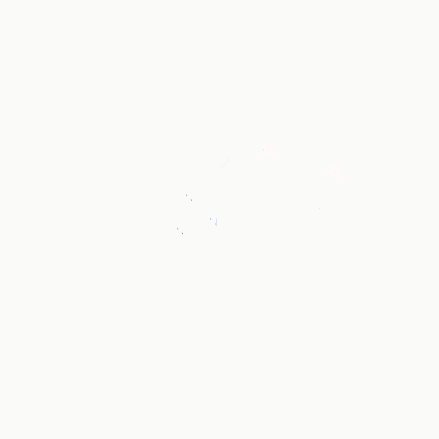 c1ccc(-c2ccc(-c3nc(-c4ccccc4)nc(-c4ccc5oc6cc7c(cc6c5c4)C4(c5ccccc5O7)c5ccccc5-c5ccccc54)n3)cc2)cc1